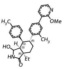 CC[C@@]12CC[C@@H](c3ccc(-c4cccnc4OC)cc3C)[C@H](c3ccc(C)cc3)[C@@H]1C(O)NC2=O